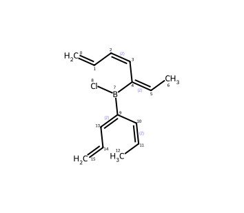 C=C/C=C\C(=C/C)B(Cl)C(/C=C\C)=C/C=C